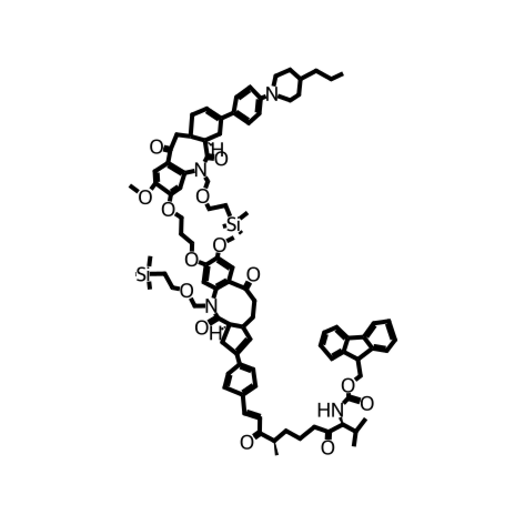 CCCC1CCN(c2ccc(C3=CCC4CC(=O)c5cc(OC)c(OCCCOc6cc7c(cc6OC)C(=O)CCC6C=C(c8ccc(/C=C/C(=O)[C@H](C)CCCC(=O)[C@@H](NC(=O)OCC9c%10ccccc%10-c%10ccccc%109)C(C)C)cc8)C[C@H]6C(=O)N7COCC[Si](C)(C)C)cc5N(COCC[Si](C)(C)C)C(=O)[C@@H]4C3)cc2)CC1